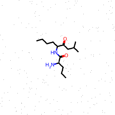 CCCCC(NC(=O)C(N)CCC)C(=O)CC(C)C